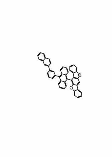 c1cc(-c2ccc3ccccc3c2)cc(-c2c3ccccc3c(-c3c4oc5ccccc5c4cc4oc5ccccc5c34)c3ccccc23)c1